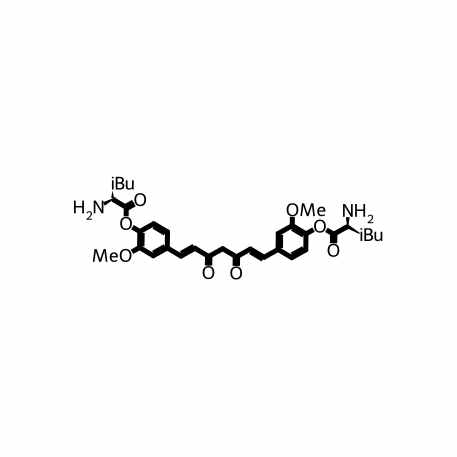 CC[C@@H](C)[C@H](N)C(=O)Oc1ccc(/C=C/C(=O)CC(=O)/C=C/c2ccc(OC(=O)[C@@H](N)[C@H](C)CC)c(OC)c2)cc1OC